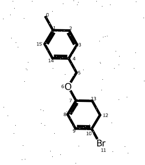 Cc1ccc(COC2=CC=C(Br)CC2)cc1